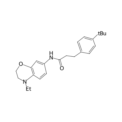 CCN1CCOc2cc(NC(=O)CCc3ccc(C(C)(C)C)cc3)ccc21